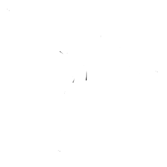 C[C@]12Oc3cc(-c4cccnc4)oc(=O)c3C(O)C1C[C@H](OC(=O)c1ccc(C#N)cc1)C[C@@H]2OC(=O)c1ccc(C#N)cc1